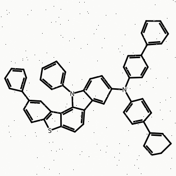 C1=CC(c2ccc(N(c3ccc(-c4ccccc4)cc3)c3ccc4c(c3)c3ccc5sc6ccc(-c7ccccc7)cc6c5c3n4-c3ccccc3)cc2)=CCC1